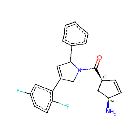 N[C@@H]1C=C[C@H](C(=O)N2CC(c3cc(F)ccc3F)=CC2c2ccccc2)C1